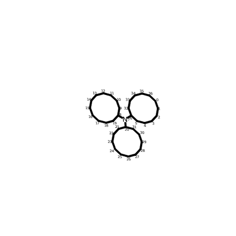 C1CCCCCC(N(C2CCCCCCCCCCC2)C2CCCCCCCCCCC2)CCCCC1